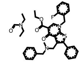 CCN(C=O)CC.CCOC(=O)c1cn(Cc2ccccc2F)c2sc(-c3ccccc3)c(CN(C)Cc3ccccc3)c2c1=O